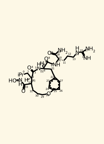 CC(C)C[C@H]1C(=O)N[C@H](C(=O)N[C@@H](CCCNC(=N)N)C(N)=O)Cc2ccc(cc2)OCCCC1C(=O)NO